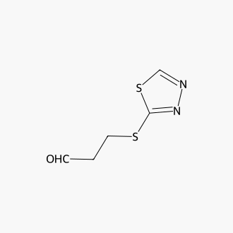 O=CCCSc1nncs1